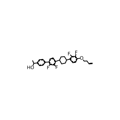 C=CCCOc1ccc(C2CCC(c3ccc(-c4ccc(C(C)O)cc4)c(F)c3F)CC2)c(F)c1F